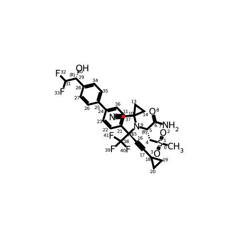 CS(=O)(=O)C[C@@H](C(N)=O)N(C1(C#N)CC1)[C@@](C#CC1CC1)(c1ccc(-c2ccc([C@@H](O)C(F)F)cc2)cc1)C(F)(F)F